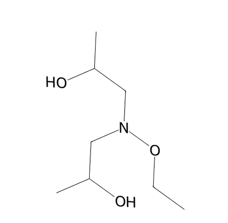 CCON(CC(C)O)CC(C)O